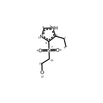 CCc1[nH]cnc1S(=O)(=O)CC[O]